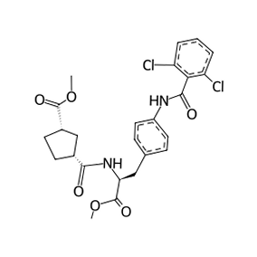 COC(=O)[C@H]1CC[C@@H](C(=O)N[C@@H](Cc2ccc(NC(=O)c3c(Cl)cccc3Cl)cc2)C(=O)OC)C1